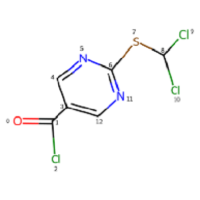 O=C(Cl)c1cnc(SC(Cl)Cl)nc1